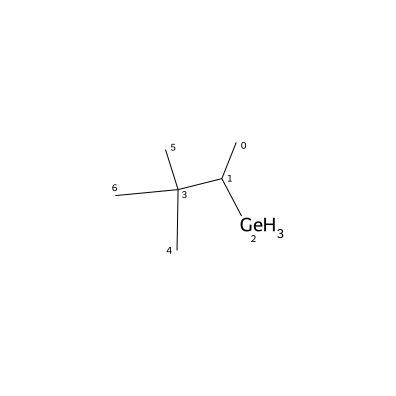 C[CH]([GeH3])C(C)(C)C